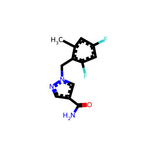 Cc1cc(F)cc(F)c1Cn1cc(C(N)=O)cn1